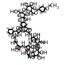 CCOc1ccc(C2OCC3OC(OC4C(CO)OC(Oc5ccc(CC6NC(=O)C(C(C)c7ccccc7)NC(=O)CNC(=O)C(CO)NC(=O)C(C(O)C7CNC(=N)N7C7OC(CO)C(O)C(O)C7O)NC(=O)C(C(O)C7CNC(=N)N7)NC6=O)cc5)C(O)C4O)C(O)C(O)C3O2)cc1